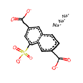 O=C([O-])c1cc(S(=O)(=O)[O-])c2cc(C(=O)[O-])ccc2c1.[Na+].[Na+].[Na+]